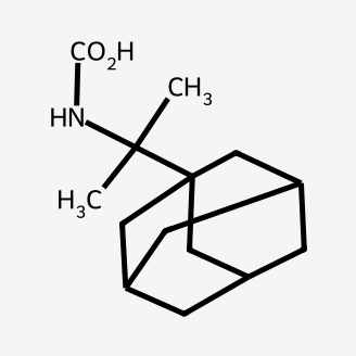 CC(C)(NC(=O)O)C12CC3CC(CC(C3)C1)C2